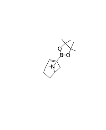 CN1C2C=C(B3OC(C)(C)C(C)(C)O3)CC1CC2